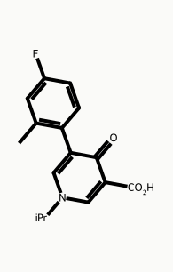 Cc1cc(F)ccc1-c1cn(C(C)C)cc(C(=O)O)c1=O